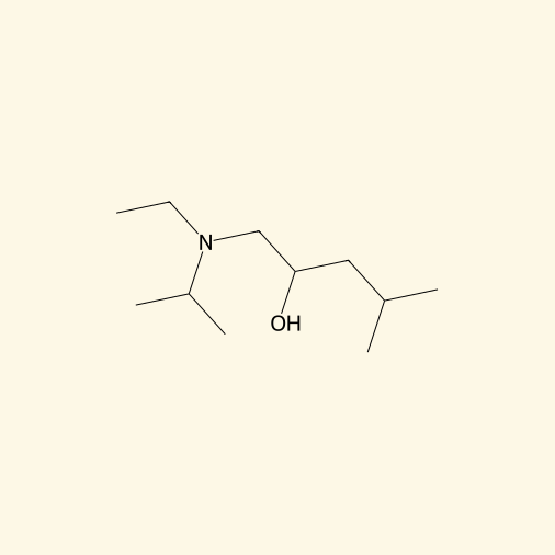 CCN(CC(O)CC(C)C)C(C)C